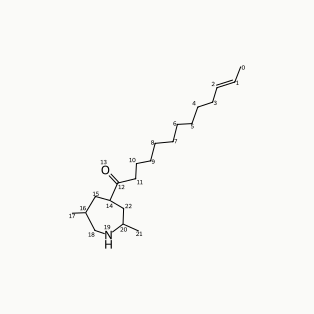 CC=CCCCCCCCCCC(=O)C1CC(C)CNC(C)C1